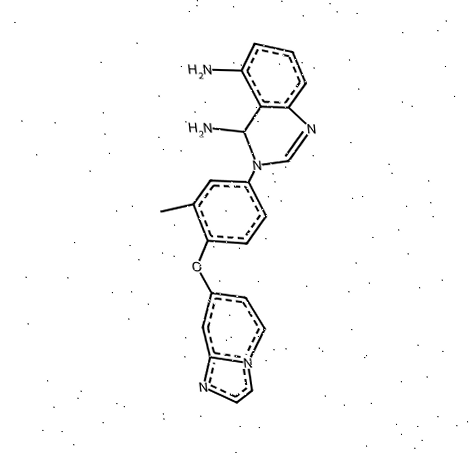 Cc1cc(N2C=Nc3cccc(N)c3C2N)ccc1Oc1ccn2ccnc2c1